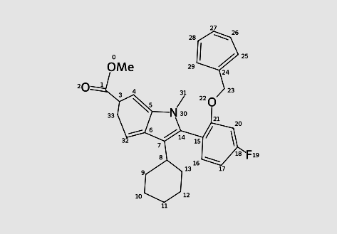 COC(=O)C1C=c2c(c(C3CCCCC3)c(-c3ccc(F)cc3OCc3ccccc3)n2C)=CC1